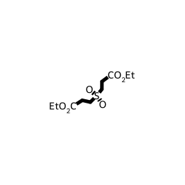 CCOC(=O)CCS(=O)(=O)CCC(=O)OCC